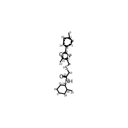 Cc1ccc(-c2nc(CSCC(=O)NC3CCCCC3C)c(C)o2)cc1